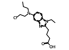 CCCN(CCCl)c1ccc2c(c1)nc(CCCC(=O)O)n2CC